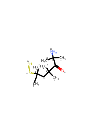 CC(C)(CC(C)(C)C(=O)C(C)(C)N)SS